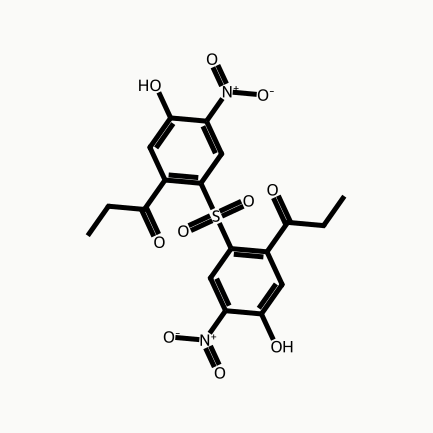 CCC(=O)c1cc(O)c([N+](=O)[O-])cc1S(=O)(=O)c1cc([N+](=O)[O-])c(O)cc1C(=O)CC